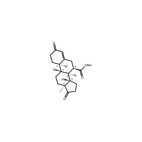 COC(=O)[C@@H]1CC2=CC(=O)CC[C@@H]2[C@H]2CC[C@]3(C)C(=O)CC[C@H]3[C@@H]21